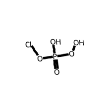 O=P(O)(OO)OCl